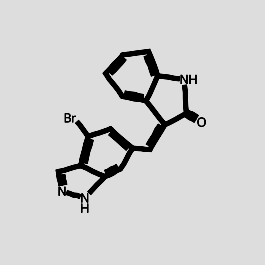 O=C1Nc2ccccc2/C1=C\c1cc(Br)c2cn[nH]c2c1